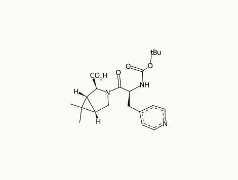 CC(C)(C)OC(=O)N[C@@H](Cc1ccncc1)C(=O)N1C[C@H]2[C@@H]([C@H]1C(=O)O)C2(C)C